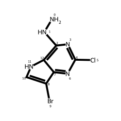 NNc1nc(Cl)nc2c(Br)c[nH]c12